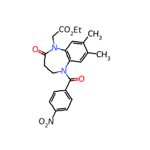 CCOC(=O)CN1C(=O)CCN(C(=O)c2ccc([N+](=O)[O-])cc2)c2cc(C)c(C)cc21